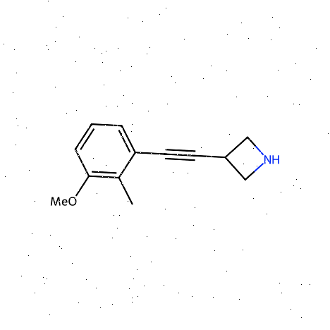 COc1cccc(C#CC2CNC2)c1C